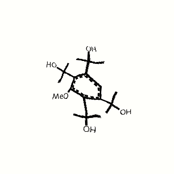 COc1c(C(C)(C)O)c(C(C)(C)O)cc(C(C)(C)O)c1C(C)(C)O